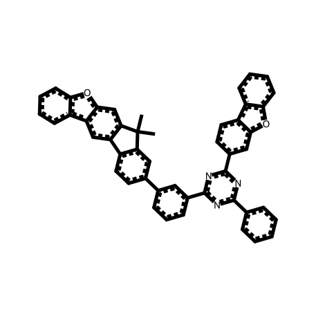 CC1(C)c2cc(-c3cccc(-c4nc(-c5ccccc5)nc(-c5ccc6c(c5)oc5ccccc56)n4)c3)ccc2-c2cc3c(cc21)oc1ccccc13